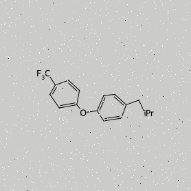 CC(C)Cc1ccc(Oc2ccc(C(F)(F)F)cc2)cc1